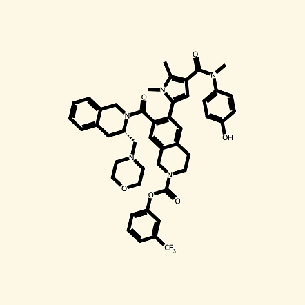 Cc1c(C(=O)N(C)c2ccc(O)cc2)cc(-c2cc3c(cc2C(=O)N2Cc4ccccc4C[C@H]2CN2CCOCC2)CN(C(=O)Oc2cccc(C(F)(F)F)c2)CC3)n1C